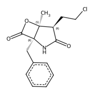 C[C@@]12OC(=O)[C@]1(Cc1ccccc1)NC(=O)[C@@H]2CCCl